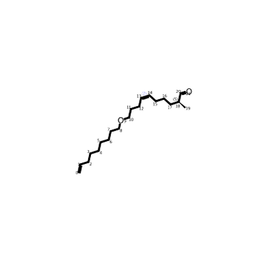 C=CCCCCCCCOCCC/C=C\CCC[C@H](C)C=O